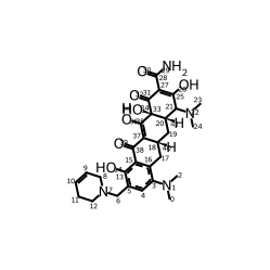 CN(C)c1cc(CN2CC=CCC2)c(O)c2c1C[C@H]1C[C@H]3C(N(C)C)C(O)=C(C(N)=O)C(=O)[C@@]3(O)C(O)=C1C2=O